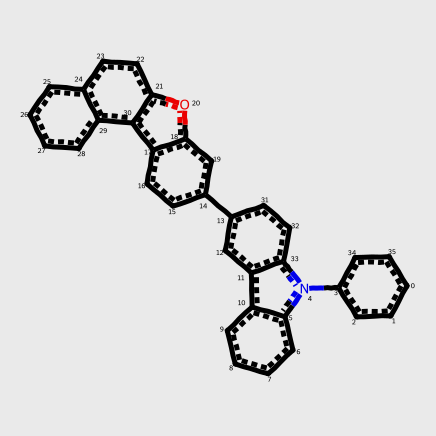 c1ccc(-n2c3ccccc3c3cc(-c4ccc5c(c4)oc4ccc6ccccc6c45)ccc32)cc1